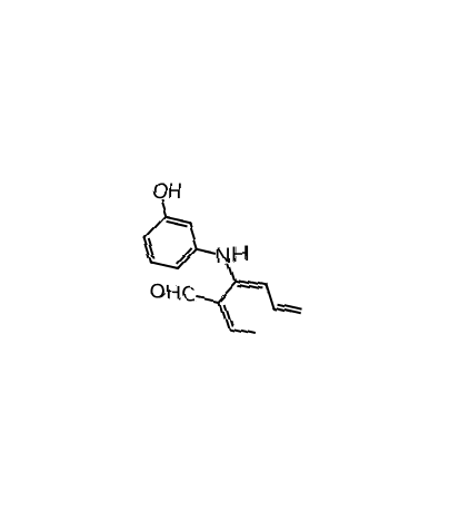 C=C/C=C(Nc1cccc(O)c1)\C(C=O)=C/C